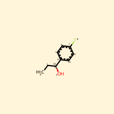 [CH2]C[C@H](O)c1ccc(F)cc1